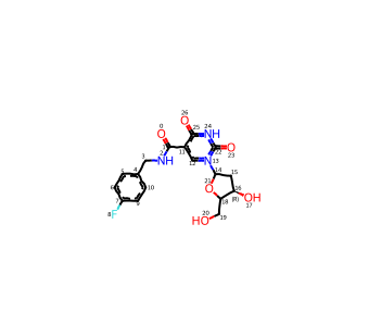 O=C(NCc1ccc(F)cc1)c1cn(C2C[C@@H](O)C(CO)O2)c(=O)[nH]c1=O